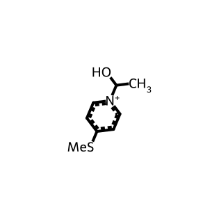 CSc1cc[n+](C(C)O)cc1